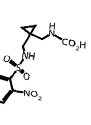 O=C(O)NCC1(CNS(=O)(=O)c2ccccc2[N+](=O)[O-])CC1